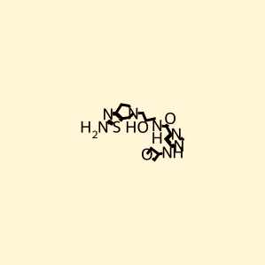 Nc1nc2c(s1)CN(C[C@@H](O)CNC(=O)c1cc(NC3COC3)ncn1)CC2